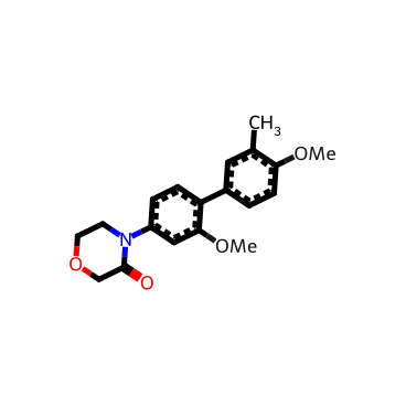 COc1ccc(-c2ccc(N3CCOCC3=O)cc2OC)cc1C